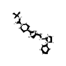 CC(C)(C)OC(=O)N1CCC(c2nc(CSc3nccn3-c3ccccc3)cs2)CC1